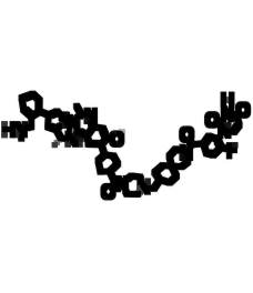 CNCc1ccccc1-c1csc([C@@H](C)Nc2nc(C)nc3cc(OC)c(C4CCC(C(=O)N5CCN(CC6CCC7(CC6)CCN(C(=O)c6ccc(F)c(-n8ccc(=O)[nH]c8=O)c6)CC7)CC5)CC4)cc23)c1